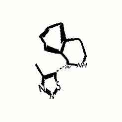 Cc1nnsc1[C@H]1NCCc2ccccc21